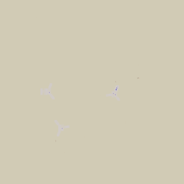 CCN(C(=O)c1cc2c(cc1C(F)(F)F)OC(C)(C)C(=O)N2CCNC(=O)OCc1ccccc1)[C@H]1CCCC[C@@H]1c1ccccc1